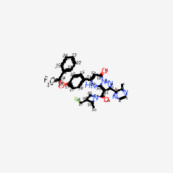 Cc1nccnc1-c1nn2c(=O)cc(-c3ccc(OC(c4ccccc4)C(F)(F)F)cc3)[nH]c2c1C(=O)N1CC(CF)C1C